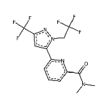 CN(C)C(=O)c1cccc(-c2cc(C(F)(F)F)nn2CC(F)(F)F)n1